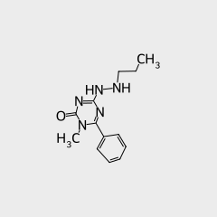 CCCNNc1nc(-c2ccccc2)n(C)c(=O)n1